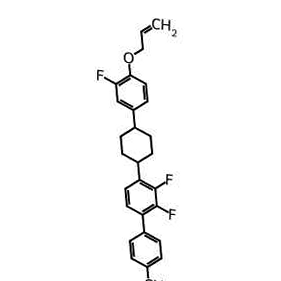 C=CCOc1ccc(C2CCC(c3ccc(-c4ccc(C)cc4)c(F)c3F)CC2)cc1F